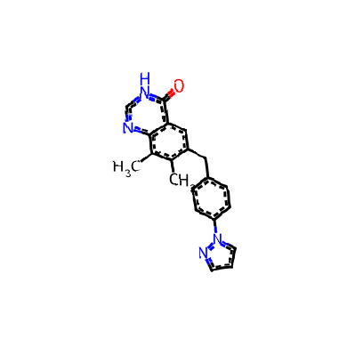 Cc1c(Cc2ccc(-n3cccn3)cc2)cc2c(=O)[nH]cnc2c1C